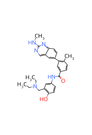 CCN(CC)Cc1cc(NC(=O)c2ccc(C)c(-c3ccc4nc(NC)ncc4c3)c2)ccc1O